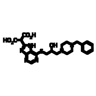 O=C(O)C(C(=O)O)c1nc2ncnc(SCC(O)CN3CCN(Cc4ccccc4)CC3)c2[nH]1